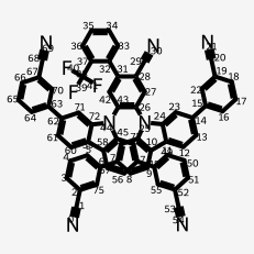 N#Cc1cccc(-c2ccc3c4ccc(-c5cccc(C#N)c5)cc4n(-c4cc(C#N)c(-c5ccccc5C(F)(F)F)cc4-n4c5cc(-c6cccc(C#N)c6)ccc5c5ccc(-c6cccc(C#N)c6)cc54)c3c2)c1